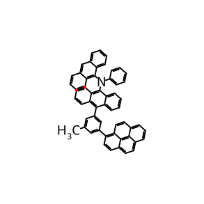 Cc1cc(-c2c3ccccc3c(N(c3ccccc3)c3c4ccccc4cc4ccccc34)c3ccccc23)cc(-c2ccc3ccc4cccc5ccc2c3c45)c1